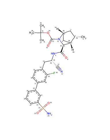 C[C@H]1C[C@@H]2C[C@H]1[C@@H](C(=O)N[C@H](C#N)Cc1ccc(-c3cccc(S(N)(=O)=O)c3)cc1F)N2C(=O)OC(C)(C)C